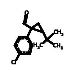 CC(C)(C)C1CC1([C]=O)c1ccc(Cl)cc1